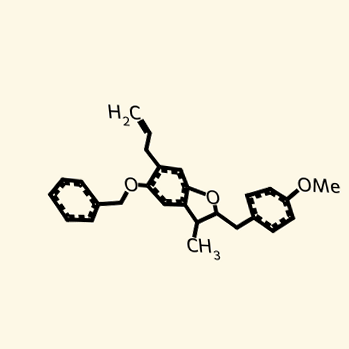 C=CCc1cc2c(cc1OCc1ccccc1)C(C)C(Cc1ccc(OC)cc1)O2